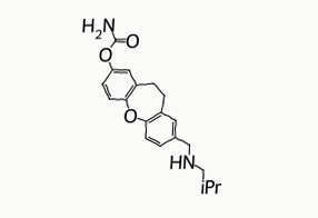 CC(C)CNCc1ccc2c(c1)CCc1cc(OC(N)=O)ccc1O2